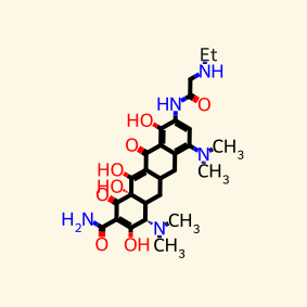 CCNCC(=O)Nc1cc(N(C)C)c2c(c1O)C(=O)C1=C(O)[C@]3(O)C(=O)C(C(N)=O)=C(O)[C@@H](N(C)C)C3CC1C2